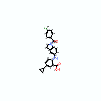 O=C(O)c1cc(C2CC2)ccc1Nc1ccc2c(ccn2C(=O)c2ccc(Cl)cc2)c1